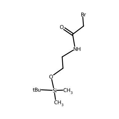 CC(C)(C)[Si](C)(C)OCCNC(=O)CBr